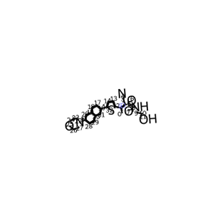 C/C(=C(/C#N)S(=O)(=O)NCCO)c1ccc(-c2ccc3cc(N4CCOCC4)ccc3c2)s1